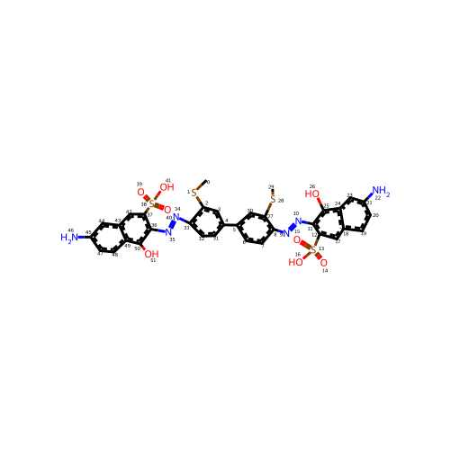 CSc1cc(-c2ccc(/N=N/c3c(S(=O)(=O)O)cc4ccc(N)cc4c3O)c(SC)c2)ccc1/N=N/c1c(S(=O)(=O)O)cc2cc(N)ccc2c1O